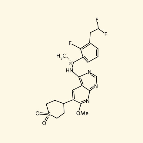 COc1nc2ncnc(N[C@H](C)c3cccc(CC(F)F)c3F)c2cc1C1CCS(=O)(=O)CC1